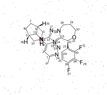 Cc1cc(N2C[C@H]3CC[C@@H](C2)C3Nc2nc3n(n2)CCCO[C@H]3c2ccc(F)c(F)c2F)cnn1